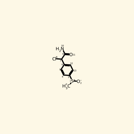 C[S+]([O-])c1ccc(C(Cl)C(N)=O)cc1